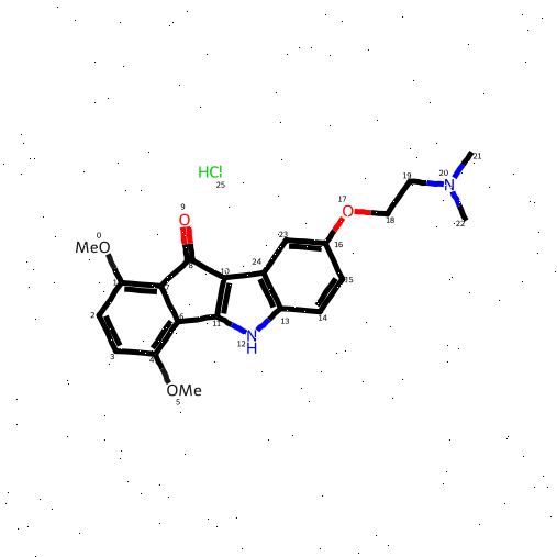 COc1ccc(OC)c2c1C(=O)c1c-2[nH]c2ccc(OCCN(C)C)cc12.Cl